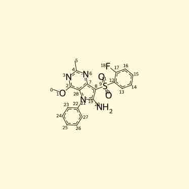 COc1nc(C)nc2c(S(=O)(=O)c3ccccc3F)c(N)n(-c3ccccc3)c12